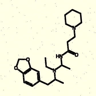 CCN(C(C)Cc1ccc2c(c1)OCO2)C(C)NC(=O)CCN1CCCCC1